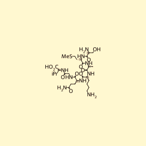 CSCC[C@H](NC(=O)[C@@H](N)CO)C(=O)N[C@@H](C)C(=O)N[C@@H](CCCCN)C(=O)N[C@@H](CCC(N)=O)C(=O)NCC(=O)N[C@H](C(=O)O)C(C)C